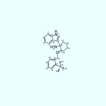 NC1(c2c[nH]c3ccccc23)CCCCC1OCc1ccccc1C(F)(F)F